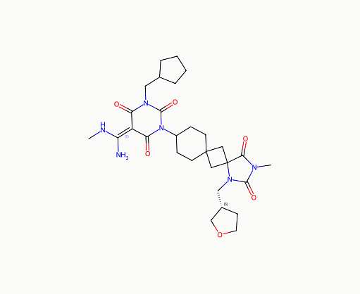 CN/C(N)=C1\C(=O)N(CC2CCCC2)C(=O)N(C2CCC3(CC2)CC2(C3)C(=O)N(C)C(=O)N2C[C@@H]2CCOC2)C1=O